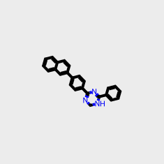 c1ccc(C2=NC(c3ccc(-c4ccc5ccccc5c4)cc3)=NCN2)cc1